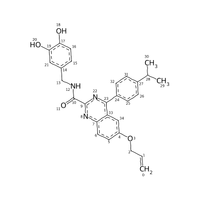 C=CCOc1ccc2nc(C(=O)NCc3ccc(O)c(O)c3)nc(-c3ccc(C(C)C)cc3)c2c1